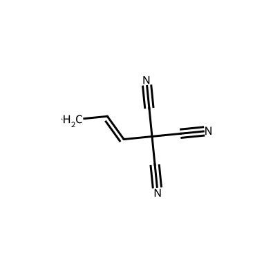 [CH2]C=CC(C#N)(C#N)C#N